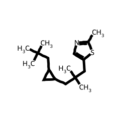 Cc1ncc(CC(C)(C)CC2CC2CC(C)(C)C)s1